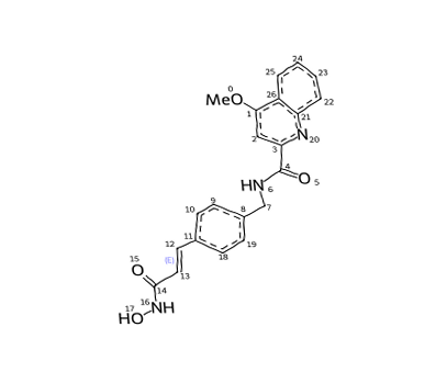 COc1cc(C(=O)NCc2ccc(/C=C/C(=O)NO)cc2)nc2ccccc12